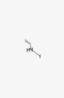 C=CNI